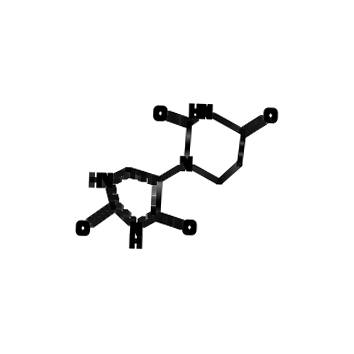 O=C1CCN(c2c[nH]c(=O)[nH]c2=O)C(=O)N1